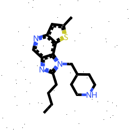 CCCCc1nc2cnc3cc(C)sc3c2n1CC1CCNCC1